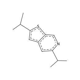 CC(C)c1cc2cc(C(C)C)sc2cn1